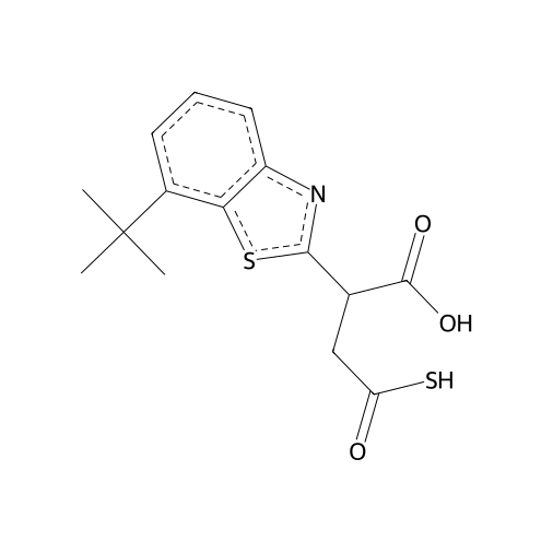 CC(C)(C)c1cccc2nc(C(CC(=O)S)C(=O)O)sc12